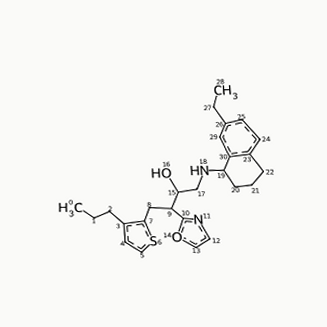 CCCc1ccsc1CC(c1ncco1)C(O)CNC1CCCc2ccc(CC)cc21